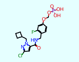 O=C(NCc1ccc(OCOP(=O)(O)O)cc1F)c1cc(Cl)nn1CC1CCC1